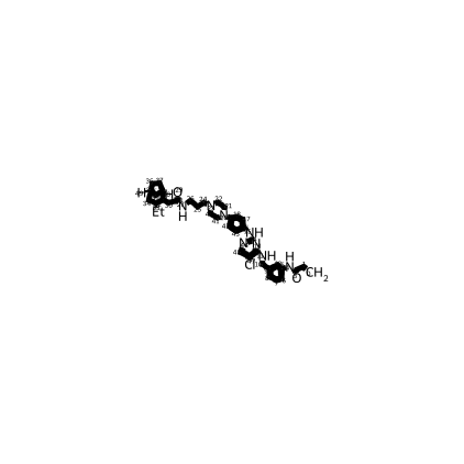 C=CC(=O)Nc1cccc(CNc2nc(Nc3ccc(N4CCN(CCCNC(=O)CC5[C@H](CC)C[C@@H]6CC[C@H]5C6)CC4)cc3)ncc2Cl)c1